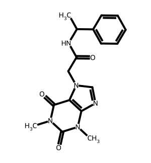 CC(NC(=O)Cn1cnc2c1c(=O)n(C)c(=O)n2C)c1ccccc1